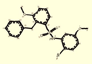 COc1ccc(Br)c(NS(=O)(=O)c2cccc(OC)c2Cc2ccccc2)c1